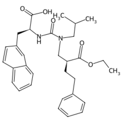 CCOC(=O)[C@@H](CCc1ccccc1)CN(CC(C)C)C(=O)N[C@@H](Cc1ccc2ccccc2c1)C(=O)O